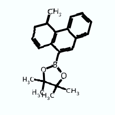 CC1CC=Cc2c(B3OC(C)(C)C(C)(C)O3)cc3ccccc3c21